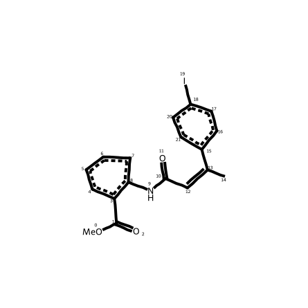 COC(=O)c1ccccc1NC(=O)/C=C(/C)c1ccc(I)cc1